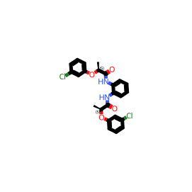 C[C@H](Oc1cccc(Cl)c1)C(=O)Nc1ccccc1NC(=O)[C@H](C)Oc1cccc(Cl)c1